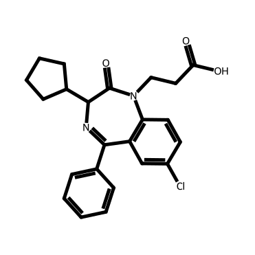 O=C(O)CCN1C(=O)C(C2CCCC2)N=C(c2ccccc2)c2cc(Cl)ccc21